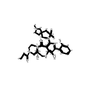 C=CC(=O)N1CCN2C(=O)c3c(N4CC5(CCN(C)C5)CC4(C)C)nc(-c4ccccc4F)c(Cl)c3OC[C@H]2C1